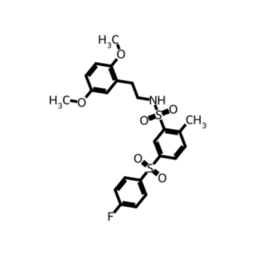 COc1ccc(OC)c(CCNS(=O)(=O)c2cc(S(=O)(=O)c3ccc(F)cc3)ccc2C)c1